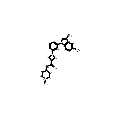 Cc1cn(-c2cccc(N3CC(C(=O)NC4CCN(C)CC4)C3)c2)c2ccc(C(F)(F)F)cc12